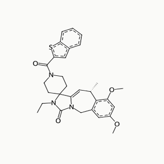 CCN1C(=O)N2Cc3cc(OC)cc(OC)c3[C@@H](C)C=C2C12CCN(C(=O)c1cc3ccccc3s1)CC2